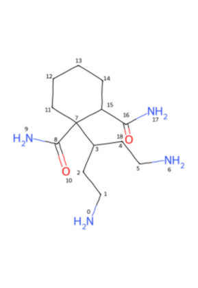 NCCC(CCN)C1(C(N)=O)CCCCC1C(N)=O